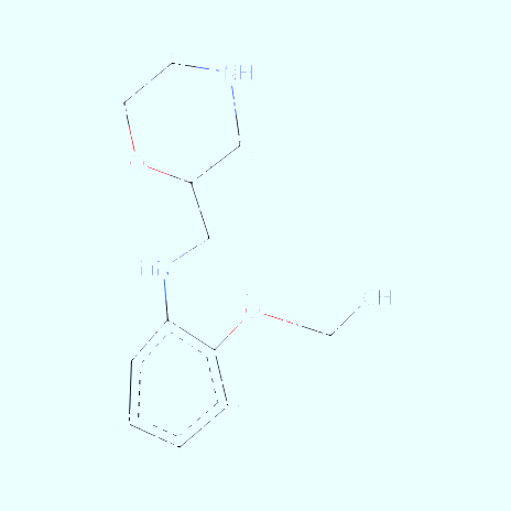 CCOc1ccccc1NCC1CNCCO1